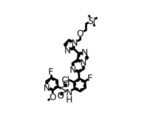 COc1ncc(F)cc1S(=O)(=O)Nc1ccc(F)c(-c2cn3cnc(-c4nccn4COCC[Si](C)(C)C)c3cn2)c1Cl